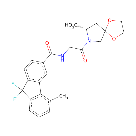 Cc1cccc2c1-c1cc(C(=O)NCC(=O)N3CC4(C[C@H]3C(=O)O)OCCO4)ccc1C2(F)F